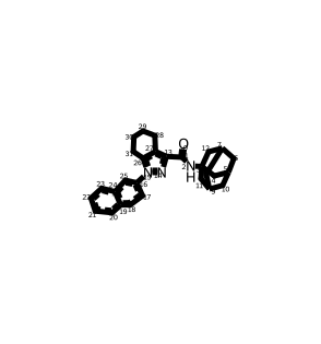 O=C(NC12CC3CC(CC(C3)C1)C2)c1nn(-c2ccc3ccccc3c2)c2c1CCCC2